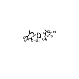 CCC(CC)(C[C@H]1O[C@@H](n2cc(I)c(=O)[nH]c2=O)[C@H](O)[C@@H]1O)OP(=O)(O)O